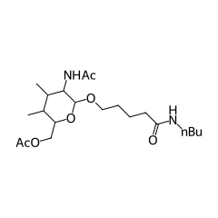 CCCCNC(=O)CCCCOC1OC(COC(C)=O)C(C)C(C)C1NC(C)=O